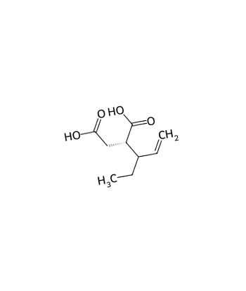 C=CC(CC)[C@H](CC(=O)O)C(=O)O